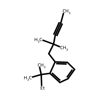 CC#CC(C)(C)Cc1ccccc1C(C)(C)CC